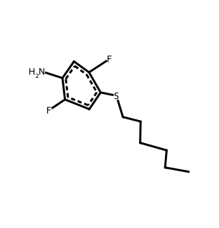 CCCCCCSc1cc(F)c(N)cc1F